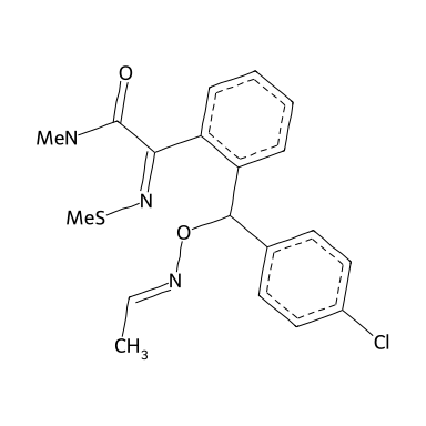 CC=NOC(c1ccc(Cl)cc1)c1ccccc1C(=NSC)C(=O)NC